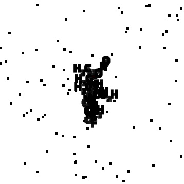 C/C(NCC1CC2(C)CC3(C)CC1CC(OCCN1CCOCC1)(C2)C3)=C(/C=N)c1ccc(N2CCCc3c2nnc(Nc2nc4cccc(F)c4s2)c3C)nc1C(=O)O